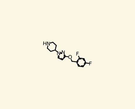 Fc1ccc(COc2ccn(C3CCNCC3)n2)c(F)c1